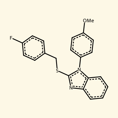 COc1ccc(-n2c(SCc3ccc(F)cc3)nc3ccccc32)cc1